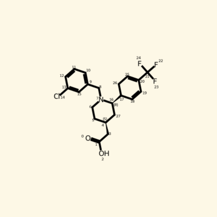 O=C(O)C[C@H]1CCN(Cc2cccc(Cl)c2)[C@@H](C2C=CC(C(F)(F)F)=CC2)C1